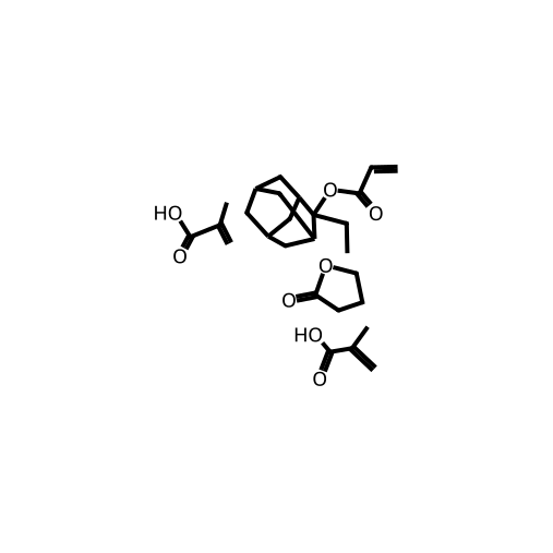 C=C(C)C(=O)O.C=C(C)C(=O)O.C=CC(=O)OC1(CC)C2CC3CC(C2)CC1C3.O=C1CCCO1